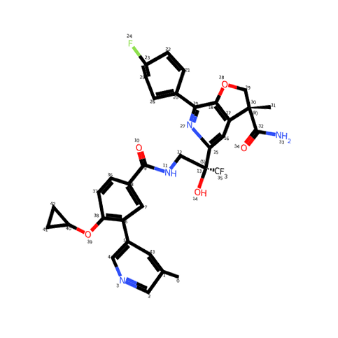 Cc1cncc(-c2cc(C(=O)NC[C@](O)(c3cc4c(c(-c5ccc(F)cc5)n3)OC[C@]4(C)C(N)=O)C(F)(F)F)ccc2OC2CC2)c1